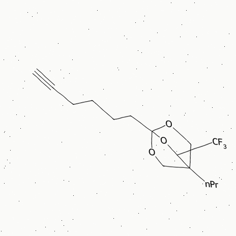 C#CCCCCC12OCC(CCC)(CO1)C(C(F)(F)F)O2